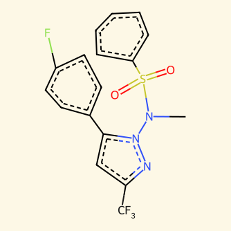 CN(n1nc(C(F)(F)F)cc1-c1ccc(F)cc1)S(=O)(=O)c1ccccc1